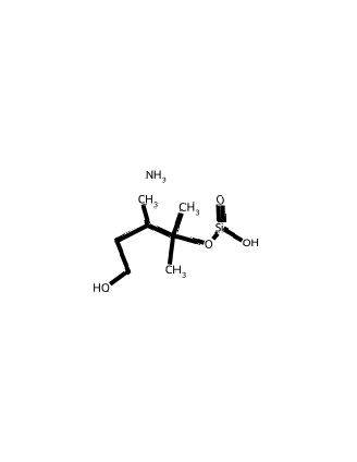 CC(CCO)C(C)(C)O[Si](=O)O.N